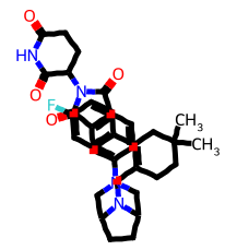 CC1(C)CCC(CN2C3CCC2CN(c2ccc4c(c2)C(=O)N(C2CCC(=O)NC2=O)C4=O)C3)=C(c2ccc(F)cc2)C1